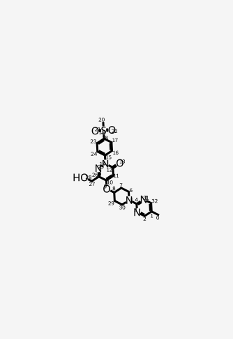 Cc1cnc(N2CCC(Oc3cc(=O)n(-c4ccc(S(C)(=O)=O)cc4)nc3CO)CC2)nc1